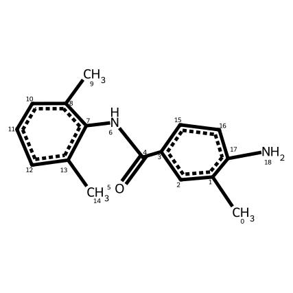 Cc1cc(C(=O)Nc2c(C)cccc2C)ccc1N